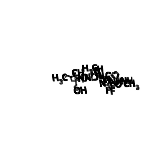 C=C1C(CC)CC(CCO)[C@@H]1N1CCN(c2ccc(Nc3ncc(C(F)(F)F)c(Nc4c(C)cccc4C(=O)NC)n3)c(OC)c2)CC1